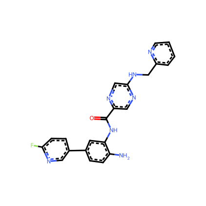 Nc1ccc(-c2ccc(F)nc2)cc1NC(=O)c1cnc(NCc2ccccn2)cn1